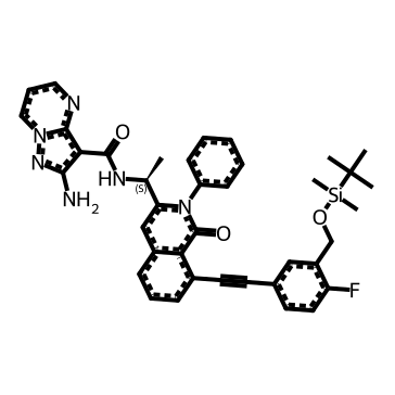 C[C@H](NC(=O)c1c(N)nn2cccnc12)c1cc2cccc(C#Cc3ccc(F)c(CO[Si](C)(C)C(C)(C)C)c3)c2c(=O)n1-c1ccccc1